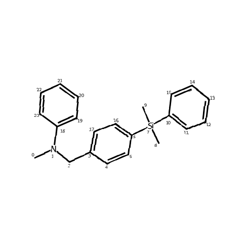 CN(Cc1ccc([Si](C)(C)c2ccccc2)cc1)c1ccccc1